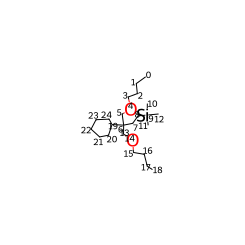 CCCCOCC(CC[Si](C)(C)C)(COCCCC)C1CCCCC1